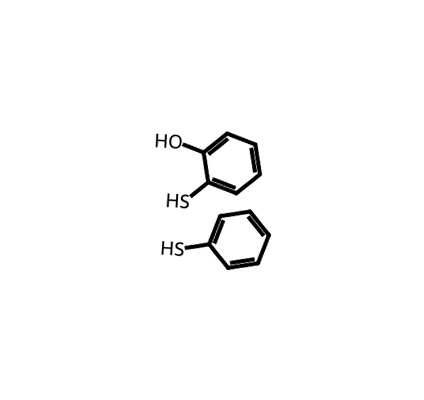 Oc1ccccc1S.Sc1ccccc1